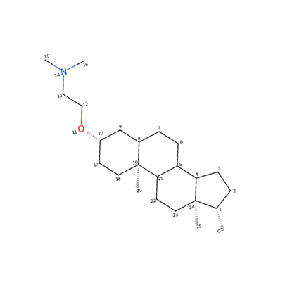 C[C@H]1CCC2C3CCC4C[C@@H](OCCN(C)C)CC[C@]4(C)C3CC[C@@]21C